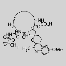 COc1ccc2nc(C)c3c(c2n1)CC[C@]1(C[C@H]2C(=O)N[C@]4(C(=O)NS(=O)(=O)C5(C)CC5)C[C@H]4C=CCCCCC[C@H](NC(=O)O)C(=O)N2C1)O3